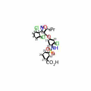 CC(C)c1onc(-c2c(Cl)cccc2Cl)c1COc1ccc(NS(=O)(=O)c2cccc(C(=O)O)c2)c(Cl)c1